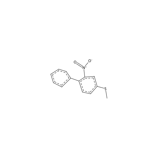 CSc1ccc(-c2ccccc2)c([N+](=O)[O-])c1